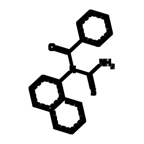 NC(=S)N(C(=O)c1ccccc1)c1cccc2ccccc12